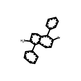 Bc1ccc2c(-c3ccccc3)c(Br)ccc2c1-c1ccccc1